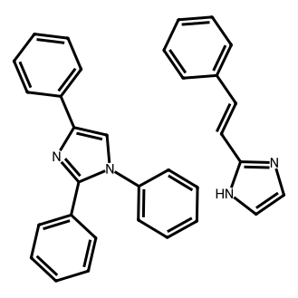 C(=Cc1ncc[nH]1)c1ccccc1.c1ccc(-c2cn(-c3ccccc3)c(-c3ccccc3)n2)cc1